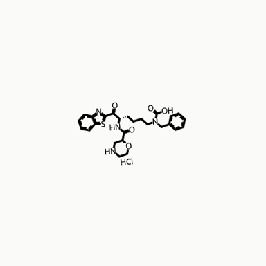 Cl.O=C(N[C@@H](CCCCN(Cc1ccccc1)C(=O)O)C(=O)c1nc2ccccc2s1)C1CNCCO1